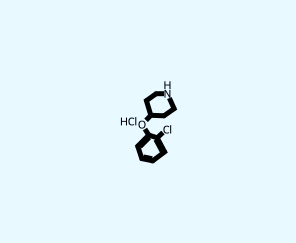 Cl.Clc1ccccc1OC1CCNCC1